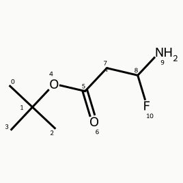 CC(C)(C)OC(=O)[CH]C(N)F